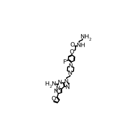 NCCNC(=O)COc1ccc(N2CCN(CCn3cnc4c3nc(N)n3nc(-c5ccco5)cc43)CC2)c(F)c1